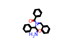 NC(=O)[C@@H](c1ccccc1)N(Cc1ccccc1)C(=O)c1ccccc1